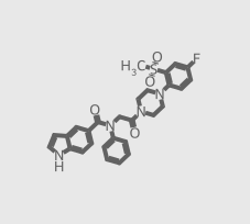 CS(=O)(=O)c1cc(F)ccc1N1CCN(C(=O)CN(C(=O)c2ccc3[nH]ccc3c2)c2ccccc2)CC1